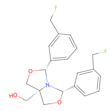 OC[C@]12CO[C@H](c3cccc(CF)c3)N1[C@H](c1cccc(CF)c1)OC2